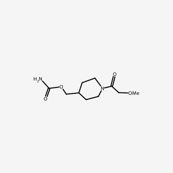 COCC(=O)N1CCC(COC(N)=O)CC1